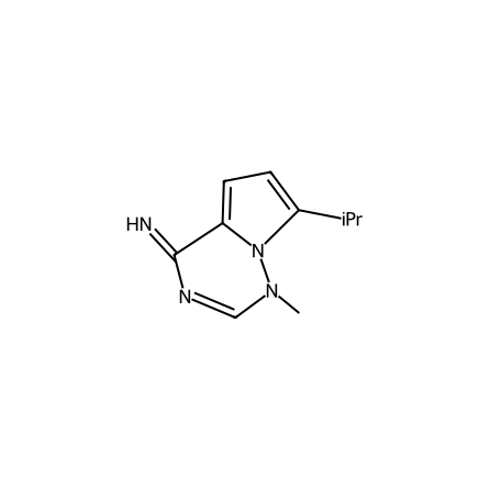 CC(C)c1ccc2c(=N)ncn(C)n12